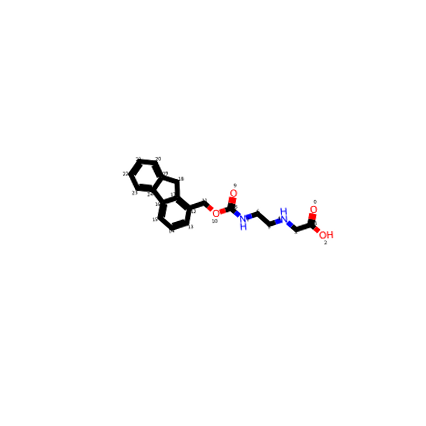 O=C(O)CNCCNC(=O)OCc1cccc2c1Cc1ccccc1-2